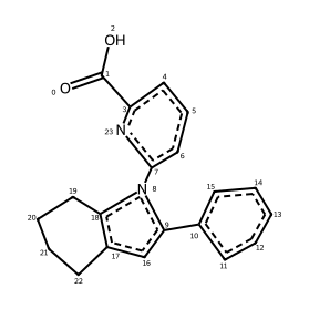 O=C(O)c1cccc(-n2c(-c3ccccc3)cc3c2CCCC3)n1